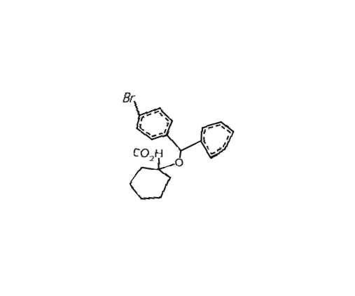 O=C(O)C1(OC(c2ccccc2)c2ccc(Br)cc2)CCCCC1